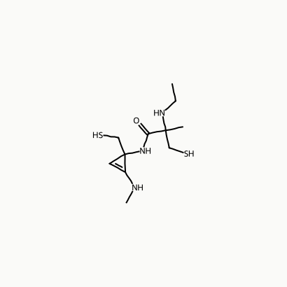 CCNC(C)(CS)C(=O)NC1(CS)C=C1NC